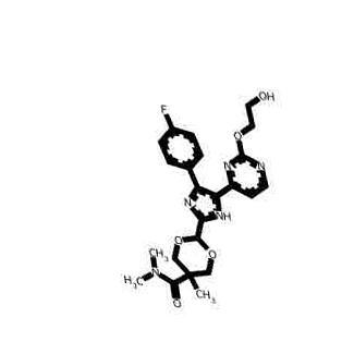 CN(C)C(=O)C1(C)COC(c2nc(-c3ccc(F)cc3)c(-c3ccnc(OCCO)n3)[nH]2)OC1